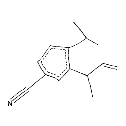 C=C[C](C)c1cc(C#N)ccc1C(C)C